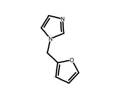 [c]1ccoc1Cn1ccnc1